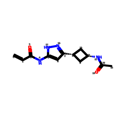 C=CC(=O)Nc1cc([C@H]2C[C@@H](NC(C)=O)C2)n[nH]1